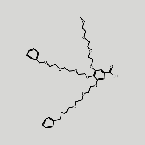 COCCOCCOCCOc1cc(C(=O)O)cc(OCCOCCOCCOCc2ccccc2)c1OCCOCCOCCOCc1ccccc1